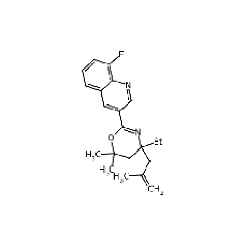 C=C(C)CC1(CC)CC(C)(C)OC(c2cnc3c(F)cccc3c2)=N1